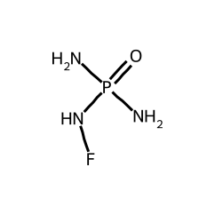 NP(N)(=O)NF